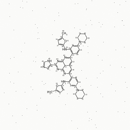 Cc1ccc(Nc2cc(N3CCCCC3)ccc2C2=CC3=CC(c4ccc(N5CCCCC5)cc4Nc4ccc(C)o4)=NC4=NC(c5cnc[nH]5)=NC(=N2)C34)o1